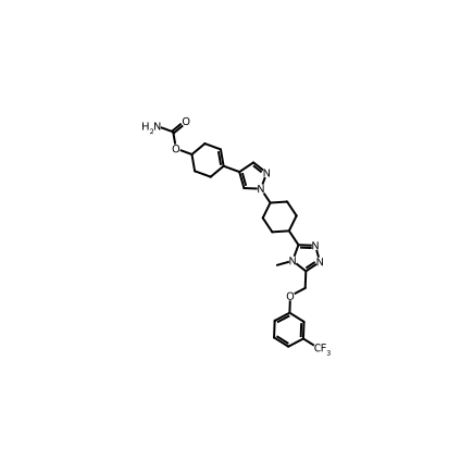 Cn1c(COc2cccc(C(F)(F)F)c2)nnc1C1CCC(n2cc(C3=CCC(OC(N)=O)CC3)cn2)CC1